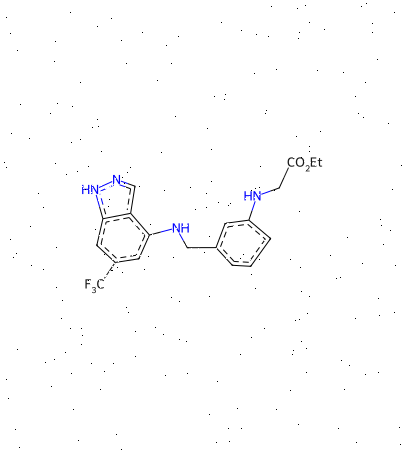 CCOC(=O)CNc1cccc(CNc2cc(C(F)(F)F)cc3[nH]ncc23)c1